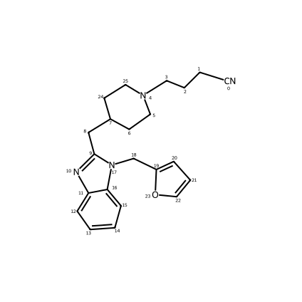 N#CCCCN1CCC(Cc2nc3ccccc3n2Cc2ccco2)CC1